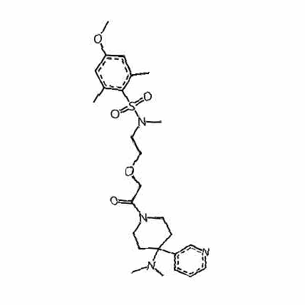 COc1cc(C)c(S(=O)(=O)N(C)CCOCC(=O)N2CCC(c3cccnc3)(N(C)C)CC2)c(C)c1